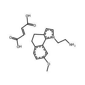 COc1ccc2c(c1)-c1c(ccn1CCN)CC2.O=C(O)C=CC(=O)O